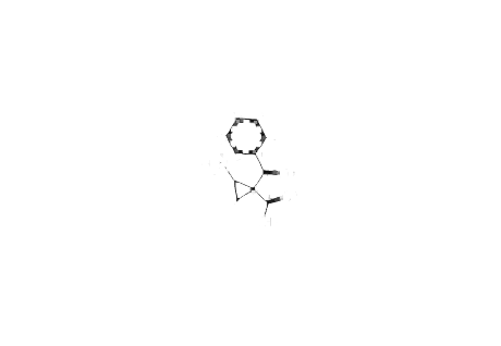 NC1CC1(C(=O)O)C(=O)c1ccccc1